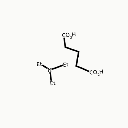 CCN(CC)CC.O=C(O)CCCC(=O)O